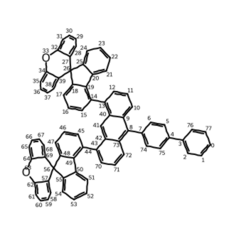 c1ccc(-c2ccc(-c3c4cccc(-c5cccc6c5-c5ccccc5C65c6ccccc6Oc6ccccc65)c4cc4c(-c5cccc6c5-c5ccccc5C65c6ccccc6Oc6ccccc65)cccc34)cc2)cc1